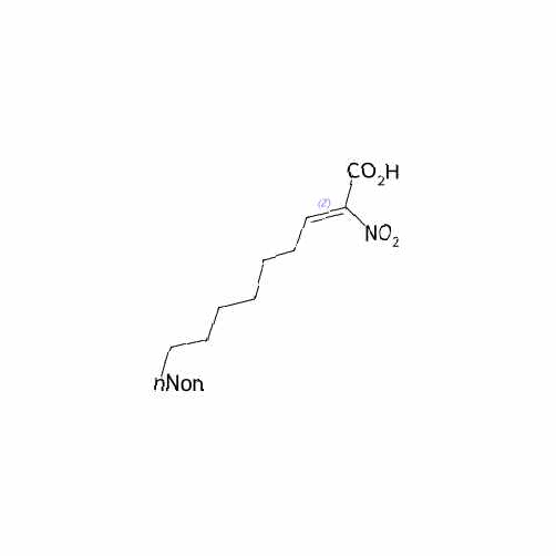 CCCCCCCCCCCCCCC/C=C(/C(=O)O)[N+](=O)[O-]